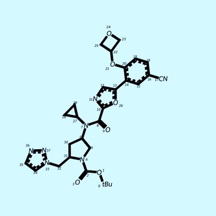 CC(C)(C)OC(=O)N1CC(N(C(=O)c2ncc(-c3cc(C#N)ccc3OC3COC3)o2)C2CC2)CC1Cn1ccnn1